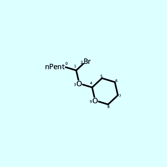 CCCCCC(Br)OC1CCCCO1